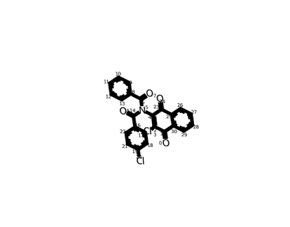 O=C1C(Cl)=C(N(C(=O)c2ccccc2)C(=O)c2ccc(Cl)cc2)C(=O)c2ccccc21